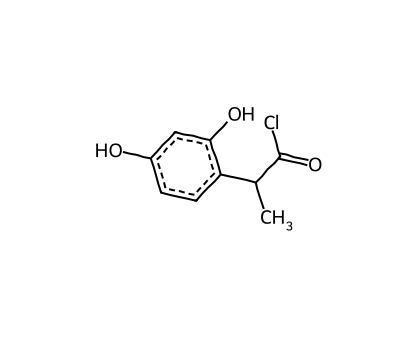 CC(C(=O)Cl)c1ccc(O)cc1O